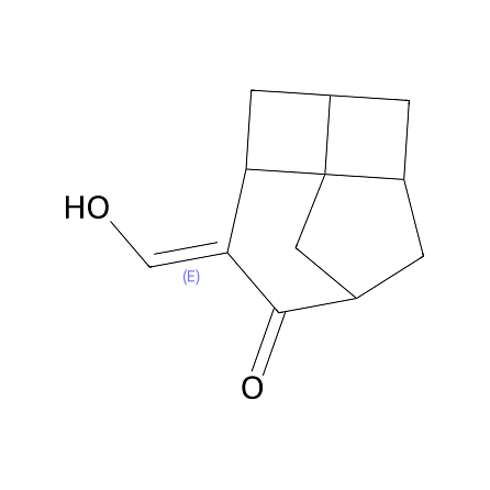 O=C1/C(=C/O)C2CC3CC4CC1CC432